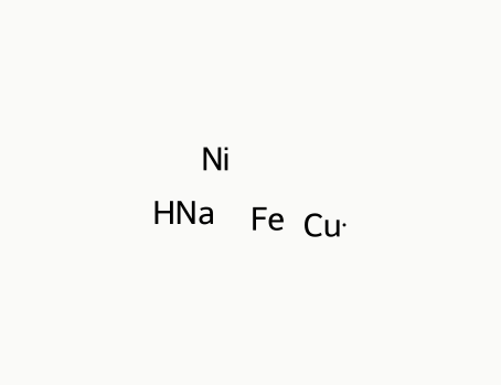 [Cu].[Fe].[NaH].[Ni]